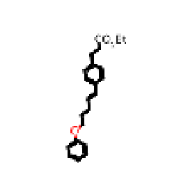 CCOC(=O)CCc1ccc(/C=C/CCCOc2ccccc2)cc1